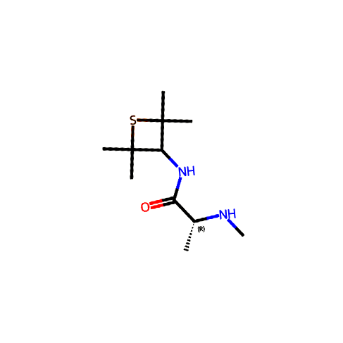 CN[C@H](C)C(=O)NC1C(C)(C)SC1(C)C